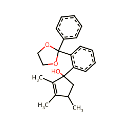 CC1=C(C)C(O)(c2ccccc2C2(c3ccccc3)OCCO2)CC1C